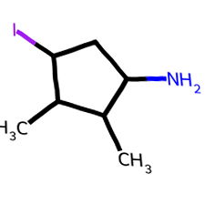 CC1C(N)CC(I)C1C